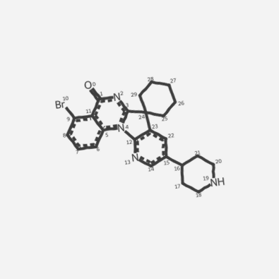 O=c1nc2n(c3cccc(Br)c13)-c1ncc(C3CCNCC3)cc1C21CCCCC1